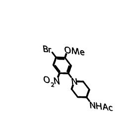 COc1cc(N2CCC(NC(C)=O)CC2)c([N+](=O)[O-])cc1Br